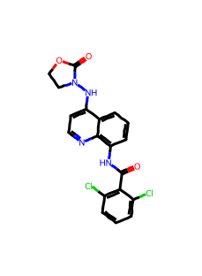 O=C(Nc1cccc2c(NN3CCOC3=O)ccnc12)c1c(Cl)cccc1Cl